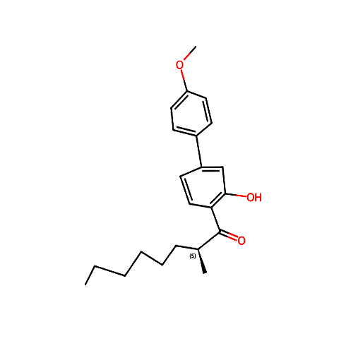 CCCCCC[C@H](C)C(=O)c1ccc(-c2ccc(OC)cc2)cc1O